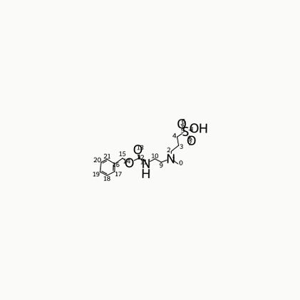 CN(CCCS(=O)(=O)O)CCNC(=O)OCc1ccccc1